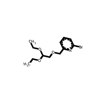 CCOC(COCc1cccc(Br)n1)OCC